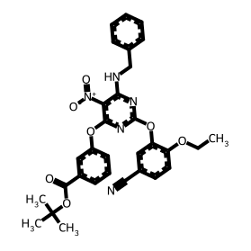 CCOc1ccc(C#N)cc1Oc1nc(NCc2ccccc2)c([N+](=O)[O-])c(Oc2cccc(C(=O)OC(C)(C)C)c2)n1